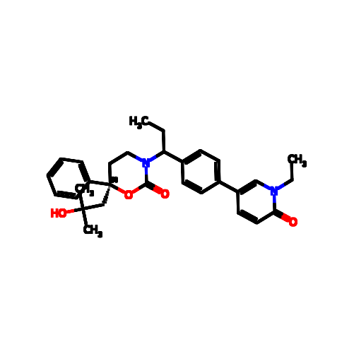 CCC(c1ccc(-c2ccc(=O)n(CC)c2)cc1)N1CC[C@](CC(C)(C)O)(c2ccccc2)OC1=O